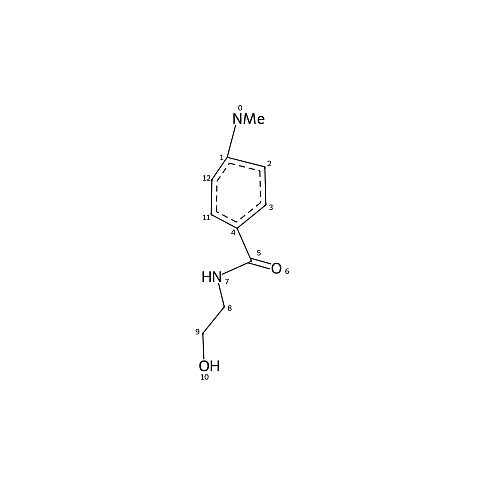 CNc1ccc(C(=O)NCCO)cc1